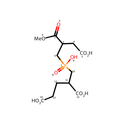 COC(=O)C(CC(=O)O)CP(=O)(O)CC(CCC(=O)O)C(=O)O